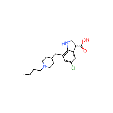 CCCCN1CCC(Cc2cc(Cl)cc3c2NCC3C(=O)O)CC1